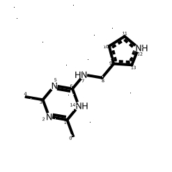 CC1=NC(C)N=C(NCc2cc[nH]c2)N1